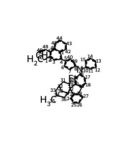 C=Cc1cc(-c2ccc(N(c3ccccc3)c3ccc4c(c3)C3(c5ccccc5-4)C(CC)CC4CC(C)CC3C4)cc2)c2ccccc2c1/C=C\C